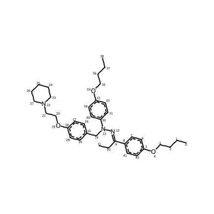 CCCCOc1ccc(C(CC)=NN(Cc2ccc(OCCN3CCCCC3)cc2)c2ccc(OCCCC)cc2)cc1